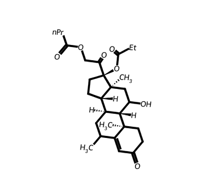 CCCC(=O)OCC(=O)[C@@]1(OC(=O)CC)CC[C@H]2[C@@H]3CC(C)C4=CC(=O)CC[C@]4(C)[C@H]3C(O)C[C@@]21C